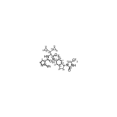 CC(C)n1nccc1C(=O)N[C@H](C(=O)Nc1cc2c(cc1F)[C@H](N1C[C@@H](C(F)(F)F)NC1=O)CC2)C(C1CC1)C1CC1